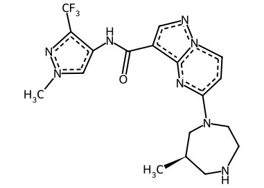 C[C@@H]1CNCCN(c2ccn3ncc(C(=O)Nc4cn(C)nc4C(F)(F)F)c3n2)C1